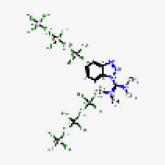 CN(C)C(n1nnc2ccccc21)=[N+](C)C.F[B-](F)(F)F.F[B-](F)(F)F.F[B-](F)(F)F.F[B-](F)(F)F.F[B-](F)(F)F.F[B-](F)(F)F